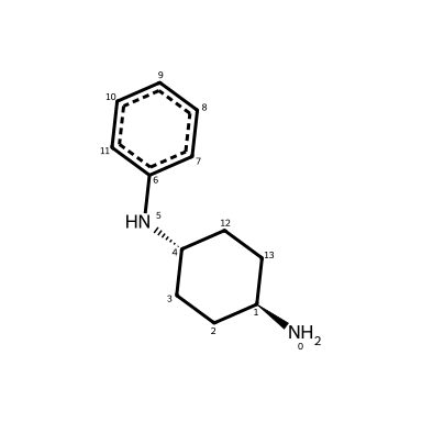 N[C@H]1CC[C@H](Nc2ccccc2)CC1